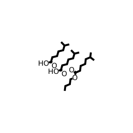 CC(C)CCCCC(=O)O.CC(C)CCCCC(=O)O.CCCCOC(=O)CCCCC(C)C